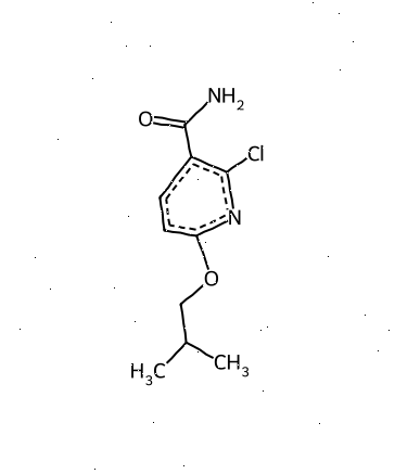 CC(C)COc1ccc(C(N)=O)c(Cl)n1